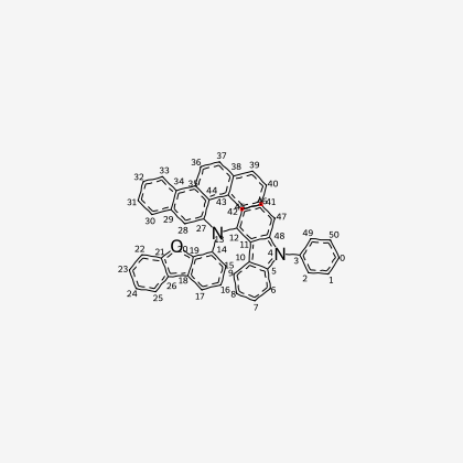 c1ccc(-n2c3ccccc3c3c(N(c4cccc5c4oc4ccccc45)c4cc5ccccc5c5ccc6ccccc6c45)cccc32)cc1